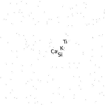 [Ca].[K].[Si].[Ti]